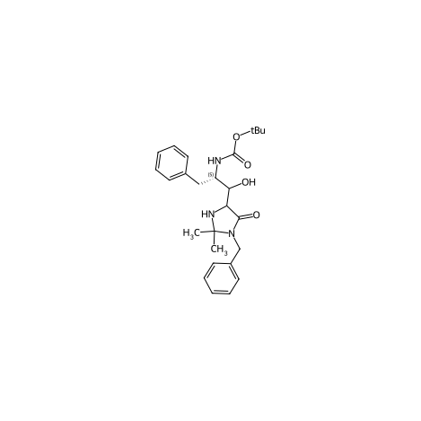 CC(C)(C)OC(=O)N[C@@H](Cc1ccccc1)C(O)C1NC(C)(C)N(Cc2ccccc2)C1=O